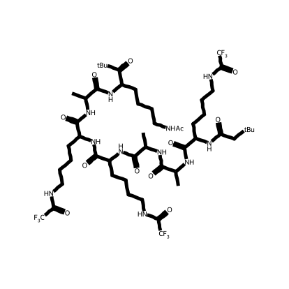 CC(=O)NCCCCC(NC(=O)C(C)NC(=O)C(CCCCNC(=O)C(F)(F)F)NC(=O)C(CCCCNC(=O)C(F)(F)F)NC(=O)C(C)NC(=O)C(C)NC(=O)C(CCCCNC(=O)C(F)(F)F)NC(=O)CC(C)(C)C)C(=O)C(C)(C)C